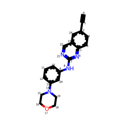 C#Cc1ccc2nc(Nc3cccc(N4CCOCC4)c3)ncc2c1